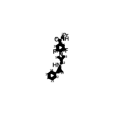 CC(C)NC(=O)c1cc(F)c(N2CC(CN[C@@H]3C[C@H]3c3ccccc3)C2)c(F)c1